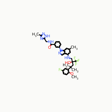 COc1ccc(F)cc1C(C)(C)CC(O)(CNc1cc(C)cc2c1cnn2-c1cccc(C(=O)NCc2nc(C)n[nH]2)c1)C(F)(F)F